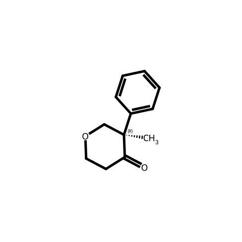 C[C@@]1(c2ccccc2)COCCC1=O